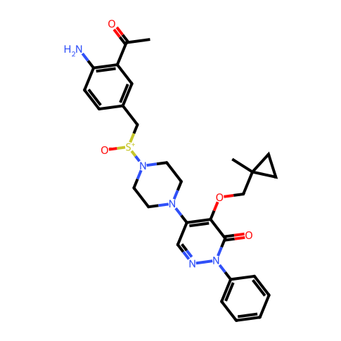 CC(=O)c1cc(C[S+]([O-])N2CCN(c3cnn(-c4ccccc4)c(=O)c3OCC3(C)CC3)CC2)ccc1N